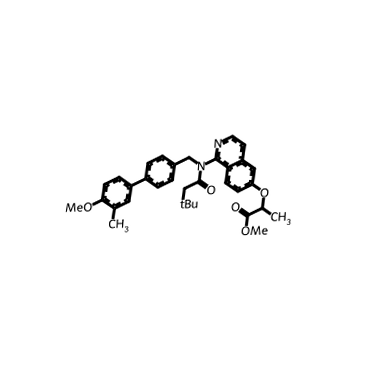 COC(=O)C(C)Oc1ccc2c(N(Cc3ccc(-c4ccc(OC)c(C)c4)cc3)C(=O)CC(C)(C)C)nccc2c1